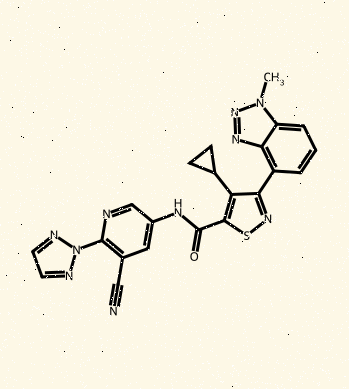 Cn1nnc2c(-c3nsc(C(=O)Nc4cnc(-n5nccn5)c(C#N)c4)c3C3CC3)cccc21